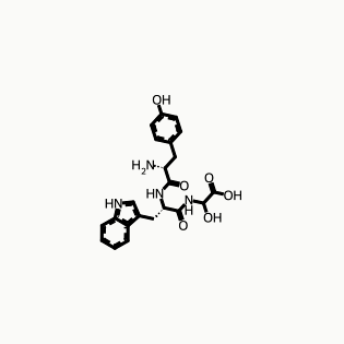 N[C@H](Cc1ccc(O)cc1)C(=O)N[C@@H](Cc1c[nH]c2ccccc12)C(=O)NC(O)C(=O)O